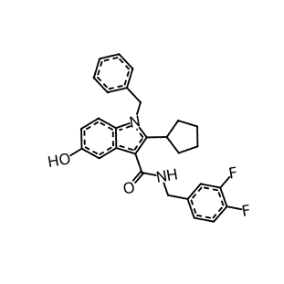 O=C(NCc1ccc(F)c(F)c1)c1c(C2CCCC2)n(Cc2ccccc2)c2ccc(O)cc12